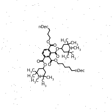 CCCCCCCCCCCCCCCOC(=O)c1c(C(=O)OC2CC(C)(C)N(C)C(C)(C)C2)ccc(C(=O)OCCCCCCCCCCCCC)c1C(=O)OC1CC(C)(C)N(C)C(C)(C)C1